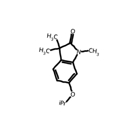 CC(C)Oc1ccc2c(c1)N(C)C(=O)C2(C)C